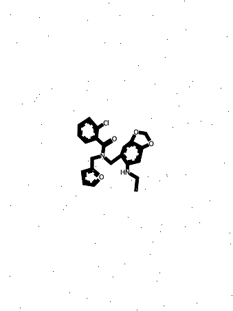 CCNc1cc2c(cc1CN(Cc1ccco1)C(=O)c1ccccc1Cl)OCO2